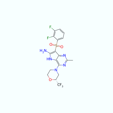 Cc1nc(N2CCO[C@@H](C(F)(F)F)C2)c2[nH]c(N)c(S(=O)(=O)c3cccc(F)c3F)c2n1